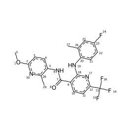 COc1ccc(NC(=O)c2ccc(C(F)(F)F)nc2Nc2ccc(F)cc2C)c(C)n1